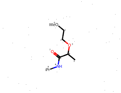 COCCOC(C)C(=O)NC(C)C